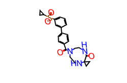 O=C(c1ccc(-c2cccc(S(=O)(=O)C3CC3)c2)cc1)N1CCNC(=O)C2(CC2)NCC1